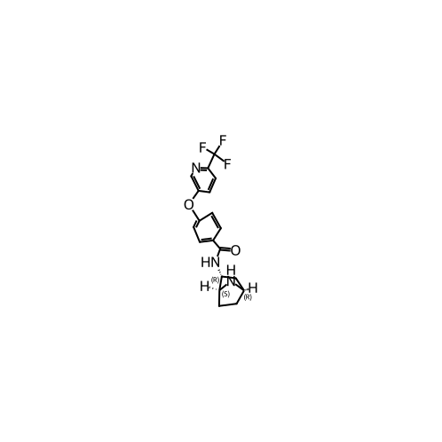 O=C(N[C@@H]1C[C@H]2CC[C@@H]1N2)c1ccc(Oc2ccc(C(F)(F)F)nc2)cc1